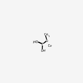 COP(O)O.[Cu]